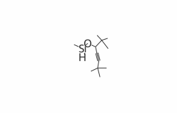 C[SiH](C)OC(C#CC(C)(C)C)C(C)(C)C